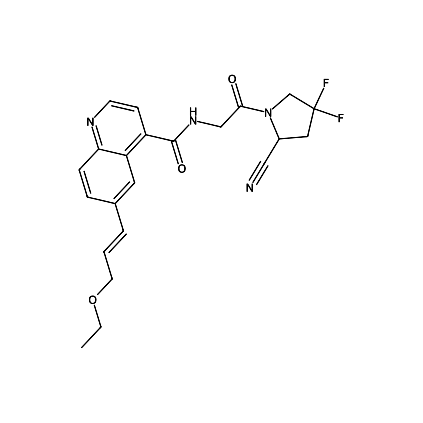 CCOC/C=C/c1ccc2nccc(C(=O)NCC(=O)N3CC(F)(F)CC3C#N)c2c1